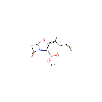 CC(CC=S)=C1OC2CC(=O)N2C1C(=O)[O-].[Li+]